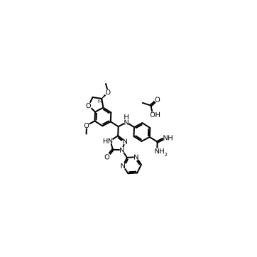 CC(=O)O.COc1cc(C(Nc2ccc(C(=N)N)cc2)c2nn(-c3ncccn3)c(=O)[nH]2)cc2c1OC[C@H]2OC